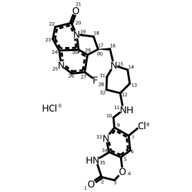 Cl.O=C1COc2cc(Cl)c(CNC3CCN(C[C@@H]4Cn5c(=O)ccc6ncc(F)c4c65)CC3)nc2N1